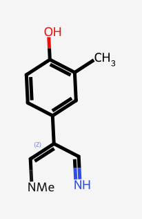 CN/C=C(\C=N)c1ccc(O)c(C)c1